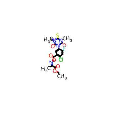 CCOC(=O)C(C)=NOC(=O)c1cc(-n2c(=O)n(C)c(=S)n(C)c2=O)c(F)cc1Cl